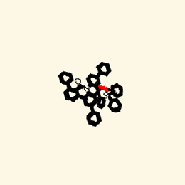 O=c1c2c(-c3ccccc3)cccc2c2cc(-c3ccccc3)cc3c2n1-c1ccc(-c2ccccc2)cc1C31c2ccccc2[Si](c2ccccc2)(c2ccccc2)c2ccccc21